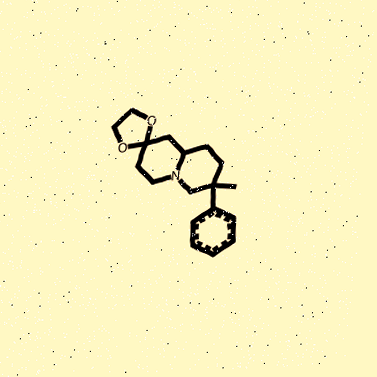 CC1(c2ccccc2)CCC2CC3(CCN2C1)OCCO3